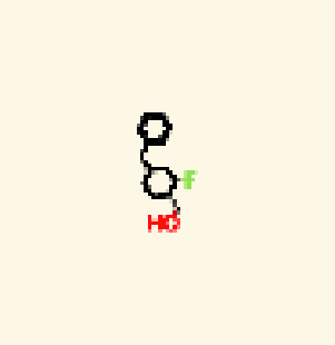 OC[C@@H]1CCC(Cc2ccccc2)C[C@@H]1F